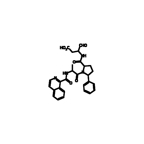 CC(NC(=O)c1nccc2ccccc12)C(=O)N1C(C(=O)NC(C=O)CC(=O)O)CCC1c1ccccc1